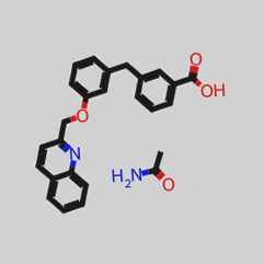 CC(N)=O.O=C(O)c1cccc(Cc2cccc(OCc3ccc4ccccc4n3)c2)c1